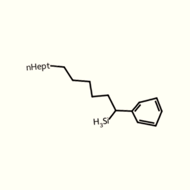 CCCCCCCCCCCCC([SiH3])c1ccccc1